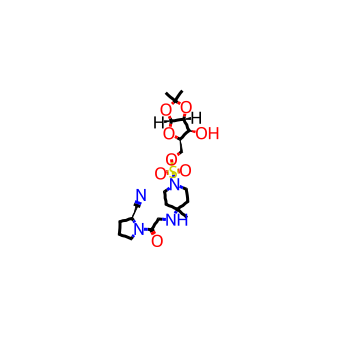 CC1(NCC(=O)N2CCC[C@H]2C#N)CCN(S(=O)(=O)OC[C@H]2O[C@@H]3OC(C)(C)O[C@@H]3[C@H]2O)CC1